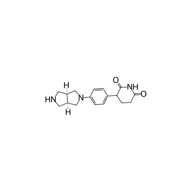 O=C1CCC(c2ccc(N3C[C@H]4CNC[C@H]4C3)cc2)C(=O)N1